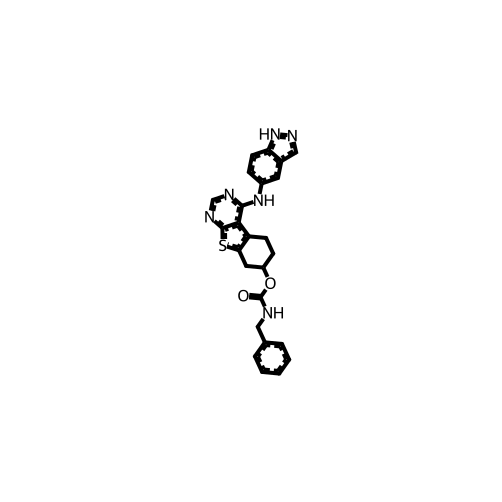 O=C(NCc1ccccc1)OC1CCc2c(sc3ncnc(Nc4ccc5[nH]ncc5c4)c23)C1